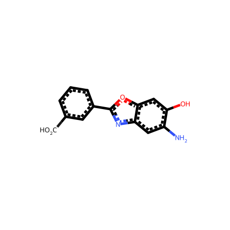 Nc1cc2nc(-c3cccc(C(=O)O)c3)oc2cc1O